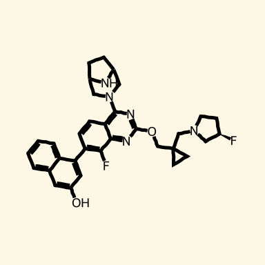 Oc1cc(-c2ccc3c(N4CC5CCC(C4)N5)nc(OCC4(CN5CC[C@@H](F)C5)CC4)nc3c2F)c2ccccc2c1